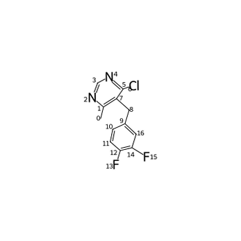 Cc1ncnc(Cl)c1Cc1ccc(F)c(F)c1